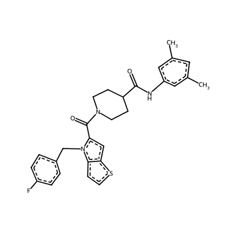 Cc1cc(C)cc(NC(=O)C2CCN(C(=O)c3cc4sccc4n3Cc3ccc(F)cc3)CC2)c1